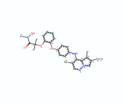 CCN(O)C(=O)C(C)(C)Oc1ccccc1Oc1ccc(Nc2c(C#N)cnn3cc(C(=O)O)c(C)c23)cc1